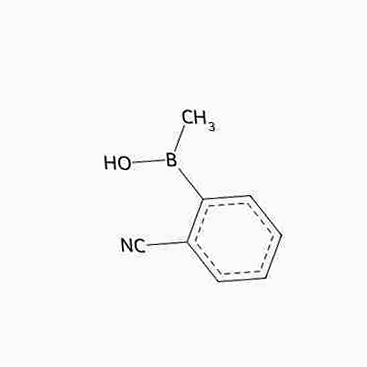 CB(O)c1ccccc1C#N